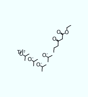 CC(C)[O-].CC(C)[O-].CC(C)[O-].CC(C)[O-].CCCC(=O)CC(=O)OCC.[Ti+4]